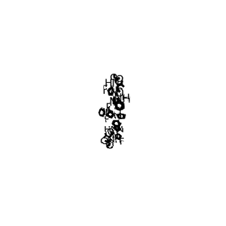 COC(=O)N[C@H](C(=O)N1C[C@@H](F)C[C@H]1c1nc2cc([C@H]3CC[C@H](c4ccc5[nH]c([C@@H]6C[C@H](F)CN6C(=O)[C@@H](NC(=O)OC)C(C)C)nc5c4)N3c3cc(F)c(N4CCCCC4)c(F)c3)ccc2[nH]1)C(C)C